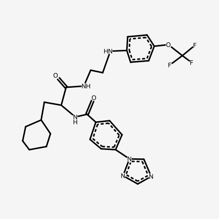 O=C(NC(CC1CCCCC1)C(=O)NCCNc1ccc(OC(F)(F)F)cc1)c1ccc(-n2cncn2)cc1